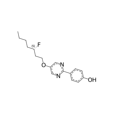 CCCC[C@H](F)CCOc1cnc(-c2ccc(O)cc2)nc1